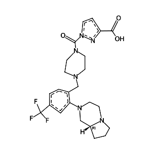 O=C(O)c1ccn(C(=O)N2CCN(Cc3ccc(C(F)(F)F)cc3N3CCN4CCC[C@@H]4C3)CC2)n1